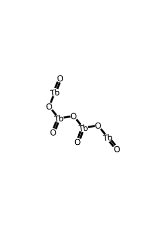 [O]=[Tb][O][Tb](=[O])[O][Tb](=[O])[O][Tb]=[O]